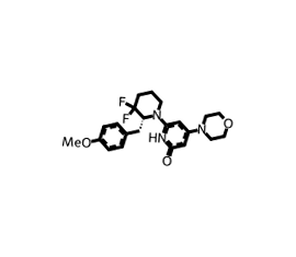 COc1ccc(C[C@H]2N(c3cc(N4CCOCC4)cc(=O)[nH]3)CCCC2(F)F)cc1